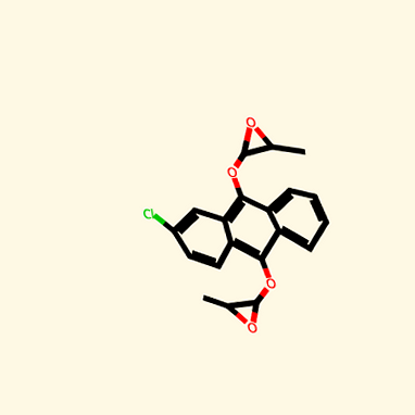 CC1OC1Oc1c2ccccc2c(OC2OC2C)c2cc(Cl)ccc12